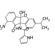 CC(C)c1ccc2c(c1)OC1(O)C3=C(C(=O)C21NC(=O)c1ccc[nH]1)C(N)CC=C3